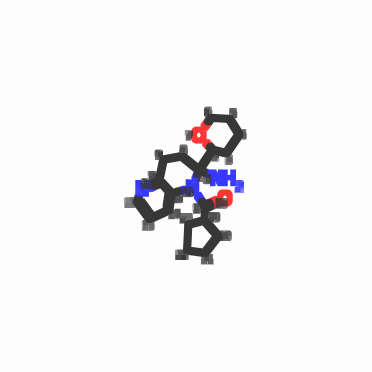 NC1(C2CCCCO2)CCc2ncccc2N1C(=O)C1CCCC1